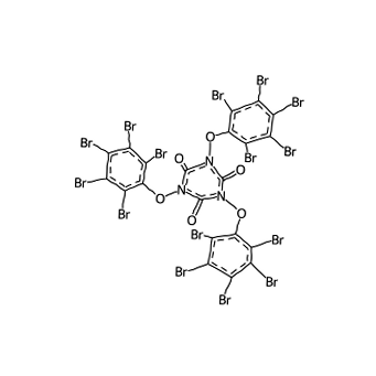 O=c1n(Oc2c(Br)c(Br)c(Br)c(Br)c2Br)c(=O)n(Oc2c(Br)c(Br)c(Br)c(Br)c2Br)c(=O)n1Oc1c(Br)c(Br)c(Br)c(Br)c1Br